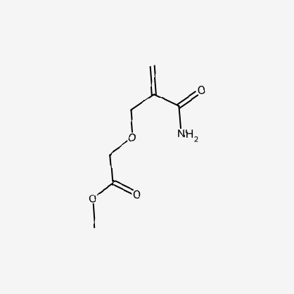 C=C(COCC(=O)OC)C(N)=O